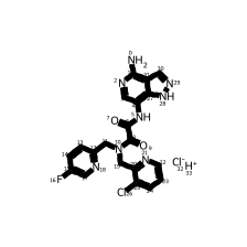 Nc1ncc(NC(=O)C(=O)N(Cc2ccc(F)cn2)Cc2ncccc2Cl)c2[nH]ncc12.[Cl-].[H+]